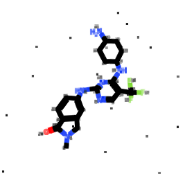 CN1Cc2cc(Nc3ncc(C(F)(F)F)c(NC4CCC(N)CC4)n3)ccc2C1=O